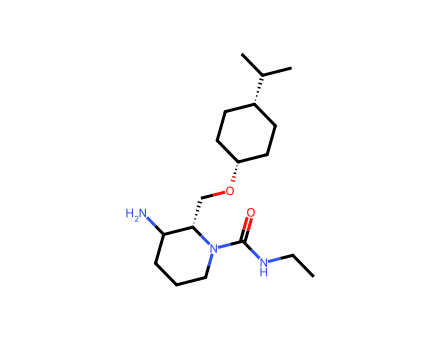 CCNC(=O)N1CCCC(N)[C@@H]1CO[C@H]1CC[C@@H](C(C)C)CC1